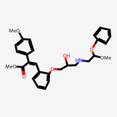 COC(=O)C(=Cc1ccccc1OCC(O)CNCC(OC)Oc1ccccc1)c1ccc(OC)cc1